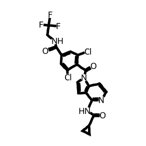 O=C(NCC(F)(F)F)c1cc(Cl)c(C(=O)n2ccc3c(NC(=O)C4CC4)nccc32)c(Cl)c1